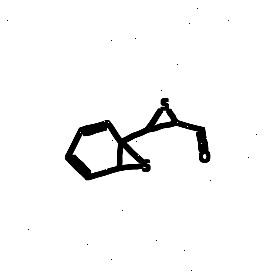 O=CC1SC1C12C=CC=CC1S2